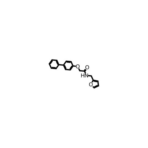 O=C(COc1ccc(-c2ccccc2)cc1)NCc1ccco1